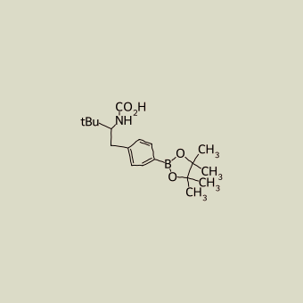 CC(C)(C)C(Cc1ccc(B2OC(C)(C)C(C)(C)O2)cc1)NC(=O)O